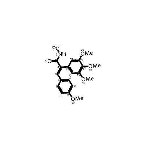 CCNC(=O)C(=Cc1ccc(OC)cc1)c1cc(OC)c(OC)c(OC)c1